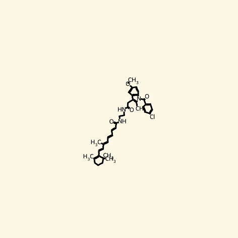 COc1ccc2c(c1)c(CC(=O)NCCNC(=O)/C=C/C=C/C=C(C)/C=C/C1=C(C)CCCC1(C)C)c(C)n2C(=O)c1ccc(Cl)cc1